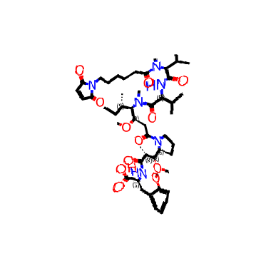 CC[C@H](C)C([C@@H](CC(=O)N1CCC[C@H]1[C@H](OC)[C@@H](C)C(=O)N[C@@H](Cc1ccccc1OC)C(=O)O)OC)N(C)C(=O)[C@@H](NC(=O)C(C(C)C)N(C)C(=O)CCCCCN1C(=O)C=CC1=O)C(C)C